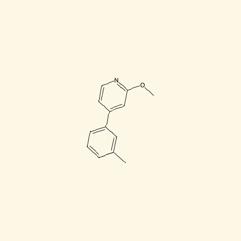 COc1cc(-c2cccc(C)c2)ccn1